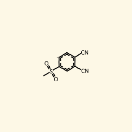 CS(=O)(=O)c1[c]cc(C#N)c(C#N)c1